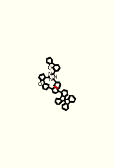 c1ccc(-c2nc(-c3cccc4c3oc3ccccc34)nc(-c3cccc4oc5ccc(-c6ccc(-c7cccc8c7-c7ccccc7C87c8ccccc8-c8ccccc87)cc6)cc5c34)n2)cc1